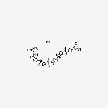 Cl.Cn1cc(NC(=O)c2cc(NC(=O)c3cc(NC(=O)c4nc5cc(NC(=O)c6ccc(N(CCCl)CCCl)cc6)ccc5n4C)cn3C)cn2C)cc1C(=O)NCCC(=N)N